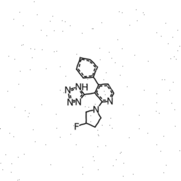 FC1CCN(c2nccc(-c3ccccc3)c2-c2nnn[nH]2)C1